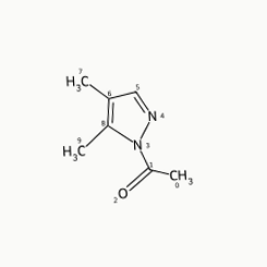 CC(=O)n1ncc(C)c1C